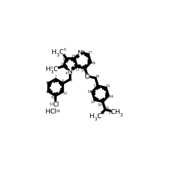 Cc1c(C)n(Cc2cccc(Cl)c2)c2c(OCc3ccc(C(C)C)cc3)ccnc12.Cl